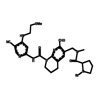 CCN1CCCC1C(=O)N(C)Cc1cc2c(nc1C=O)N(C(=O)Nc1cc(NCCOC)c(C#N)cn1)CCC2